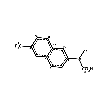 CC(C(=O)O)c1ccc2cc(C(F)(F)F)ccc2c1